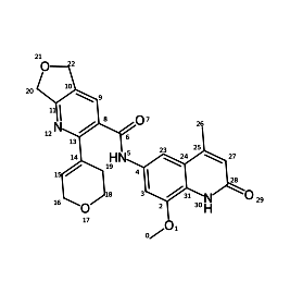 COc1cc(NC(=O)c2cc3c(nc2C2=CCOCC2)COC3)cc2c(C)cc(=O)[nH]c12